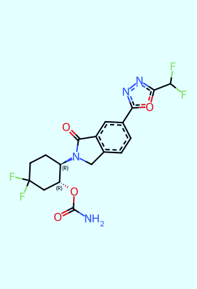 NC(=O)O[C@@H]1CC(F)(F)CC[C@H]1N1Cc2ccc(-c3nnc(C(F)F)o3)cc2C1=O